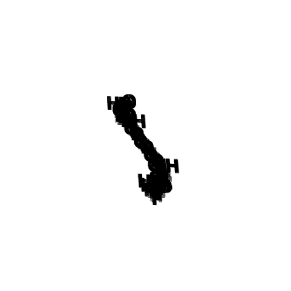 O=C1CCC(N2C(=O)c3cccc(NCCOCCOCCOCCOCCOCCOC(=O)Nc4ccc(N5CCC(O)(C(=O)NCc6cc(F)cc(F)c6)C5=O)cc4)c3C2=O)C(=O)N1